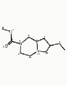 CCC1CC2CN(C(=O)OC)CCN2C1